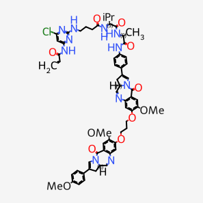 C=CC(=O)Nc1cc(Cl)nc(NCCCC(=O)N[C@H](C(=O)N[C@@H](C)C(=O)Nc2ccc(C3=CN4C(=O)c5cc(OC)c(OCCCOc6cc7c(cc6OC)C(=O)N6C=C(c8ccc(OC)cc8)C[C@@H]6C=N7)cc5N=C[C@@H]4C3)cc2)C(C)C)n1